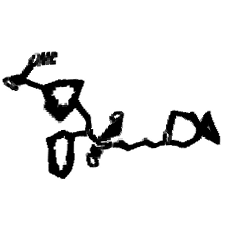 COC(=O)c1ccc(CN(c2ccccc2)S(=O)(=O)CCCN2CCC3(CC3)C2)cc1